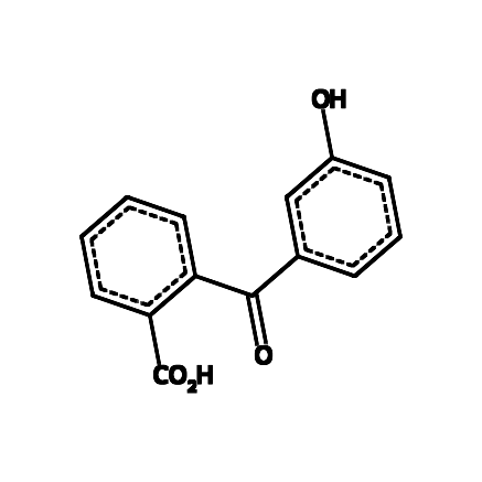 O=C(O)c1ccccc1C(=O)c1cccc(O)c1